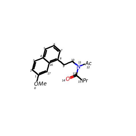 COc1ccc2cccc(CCN(C(C)=O)C(=O)C(C)C)c2c1